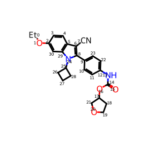 CCOc1ccc2c(C#N)c(-c3ccc(NC(=O)OC4CCOC4)cc3)n(C3CCC3)c2c1